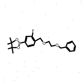 CC1(C)OB(c2ccc(COCCOCc3ccccc3)c(F)c2)OC1(C)C